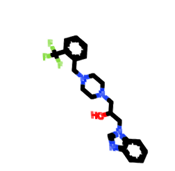 OC(CN1CCN(Cc2ccccc2C(F)(F)F)CC1)Cn1cnc2ccccc21